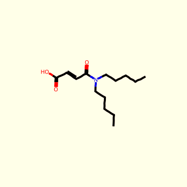 CCCCCN(CCCCC)C(=O)/C=C/C(=O)O